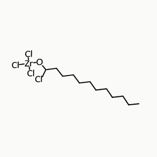 CCCCCCCCCCCC(Cl)[O][Zr]([Cl])([Cl])[Cl]